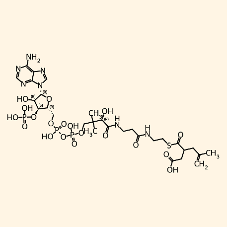 C=C(C)CC(CC(=O)O)C(=O)SCCNC(=O)CCNC(=O)[C@H](O)C(C)(C)COP(=O)(O)OP(=O)(O)OC[C@H]1O[C@@H](n2cnc3c(N)ncnc32)[C@H](O)[C@@H]1OP(=O)(O)O